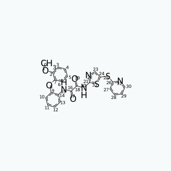 COc1ccccc1Oc1ccccc1NC(=O)C(=O)Nc1ncc(Sc2ccccn2)s1